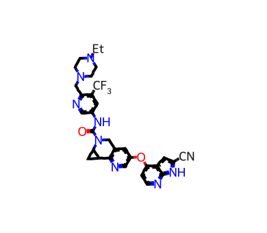 CCN1CCN(Cc2ncc(NC(=O)N3Cc4cc(Oc5ccnc6[nH]c(C#N)cc56)cnc4C4CC43)cc2C(F)(F)F)CC1